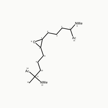 CNC(CCCC1OC1CCCC(C)(NC)C(C)=O)C(C)=O